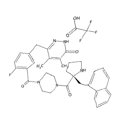 Cc1c(Cc2ccc(F)c(C(=O)N3CCN(C(=O)[C@]4(Cc5cccc6ccccc56)CCCN4)CC3)c2)n[nH]c(=O)c1C.O=C(O)C(F)(F)F